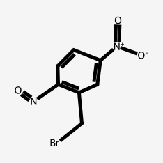 O=Nc1ccc([N+](=O)[O-])cc1CBr